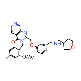 COc1cc(C)ccc1Cn1c(COc2cccc(CNCC3CCOCC3)c2)nc2cnccc2c1=O